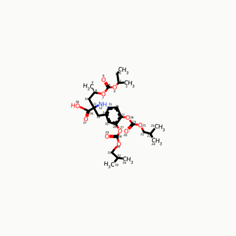 CCC(C)OC(=O)O[C@@H](C)CC(N)(Cc1ccc(OC(=O)OCC(C)C)c(OC(=O)OCC(C)C)c1)C(=O)O